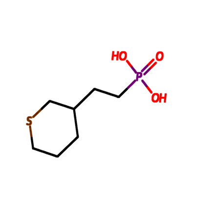 O=P(O)(O)CCC1CCCSC1